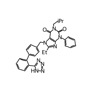 CCc1nc2c(c(=O)n(CC(C)C)c(=O)n2-c2ccccc2)n1Cc1ccc(-c2ccccc2-c2nnn[nH]2)cc1